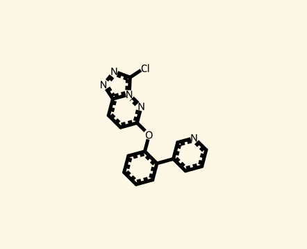 Clc1nnc2ccc(Oc3ccccc3-c3cccnc3)nn12